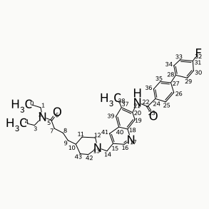 CCN(CC)C(=O)CCCC1CCN(Cc2cnc3cc(NC(=O)c4ccc(-c5ccc(F)cc5)cc4)c(C)cc3c2)CC1